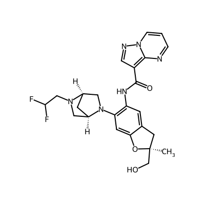 C[C@@]1(CO)Cc2cc(NC(=O)c3cnn4cccnc34)c(N3C[C@H]4C[C@@H]3CN4CC(F)F)cc2O1